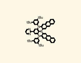 CC(C)(C)c1cc(N2c3cc4cc5ccccc5cc4cc3B3c4cc5cc6ccccc6cc5cc4N(c4cc(C(C)(C)C)cc(C(C)(C)C)c4)c4cc(-c5ncccn5)cc2c43)cc(C(C)(C)C)c1